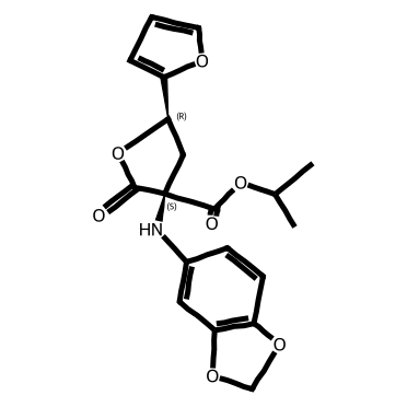 CC(C)OC(=O)[C@@]1(Nc2ccc3c(c2)OCO3)C[C@H](c2ccco2)OC1=O